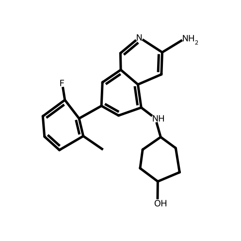 Cc1cccc(F)c1-c1cc(NC2CCC(O)CC2)c2cc(N)ncc2c1